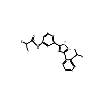 CC(C)c1ccccc1-c1cc(-c2cccc(NC(=O)C(Cl)Cl)c2)on1